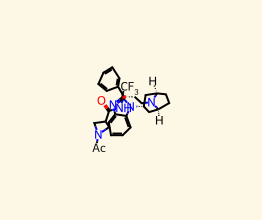 CC(=O)N1CC(C(=O)N[C@@H](CCN2[C@@H]3CC[C@H]2C[C@H](n2c(C(F)(F)F)nc4ccccc42)C3)c2ccccc2)C1